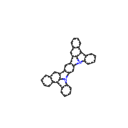 c1ccc2c(c1)cc1c3cc4c5cc6ccccc6c6c7ccccc7n(c4cc3n3c4ccccc4c2c13)c56